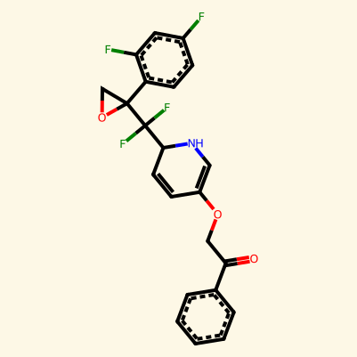 O=C(COC1=CNC(C(F)(F)C2(c3ccc(F)cc3F)CO2)C=C1)c1ccccc1